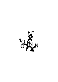 CCOC(=O)c1c(I)c(C2(C#N)CC2)nn1CC1(C)CC(F)(F)C1